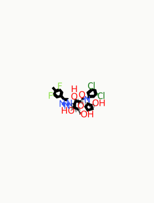 Cc1c(F)cc(-c2cn([C@H]3[C@@H](O)[C@@H](CO)O[C@@H](C(=O)N(c4cc(Cl)cc(Cl)c4)[C@H]4CCC[C@@H]4O)[C@@H]3O)nn2)cc1F